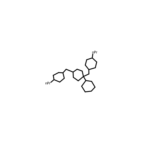 CCCC1CCC(CC2CCC(CC3CCC(CCC)CC3)(C3CCCCC3)CC2)CC1